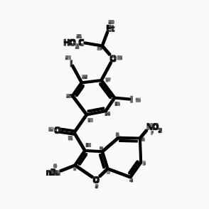 CCCCc1oc2ccc([N+](=O)[O-])cc2c1C(=O)c1cc(I)c(OC(CC)C(=O)O)c(I)c1